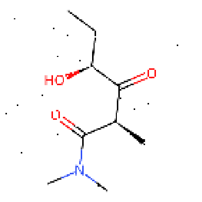 CC[C@H](O)C(=O)[C@@H](C)C(=O)N(C)C